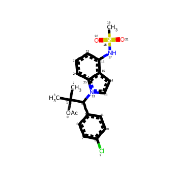 CC(=O)OC(C)(C)C(c1ccc(Cl)cc1)n1ccc2c(NS(C)(=O)=O)cccc21